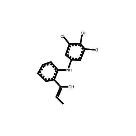 CC=C(O)c1ccccc1Nc1cc(Cl)c(O)c(Cl)c1